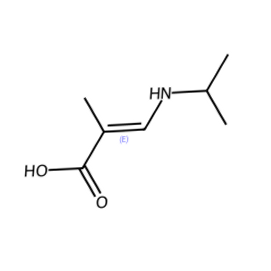 C/C(=C\NC(C)C)C(=O)O